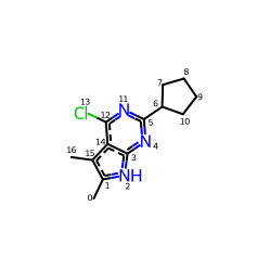 Cc1[nH]c2nc(C3CCCC3)nc(Cl)c2c1C